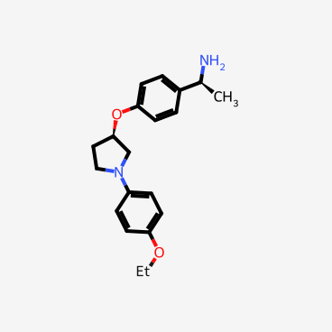 CCOc1ccc(N2CC[C@@H](Oc3ccc([C@H](C)N)cc3)C2)cc1